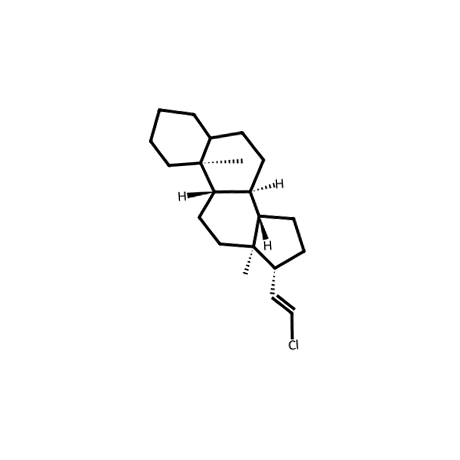 C[C@]12CC[C@H]3[C@@H](CCC4CCCC[C@@]43C)[C@@H]1CC[C@@H]2C=CCl